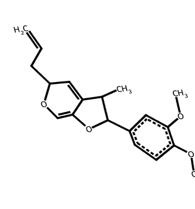 C=CCC1C=C2C(=CO1)OC(c1ccc(OC)c(OC)c1)C2C